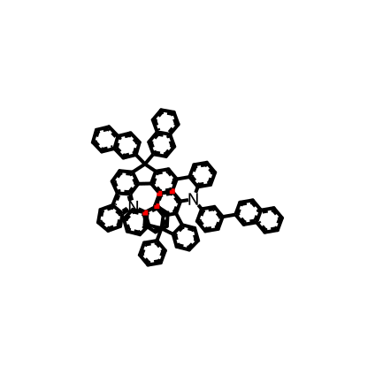 c1ccc(C2(c3ccccc3)c3ccccc3-c3c(N(c4cccc(-c5ccc6ccccc6c5)c4)c4ccccc4-c4cc5c6c(c4)C(c4ccc7ccccc7c4)(c4ccc7ccccc7c4)c4ccc7c8ccccc8n(c7c4-6)-c4ccccc4-5)cccc32)cc1